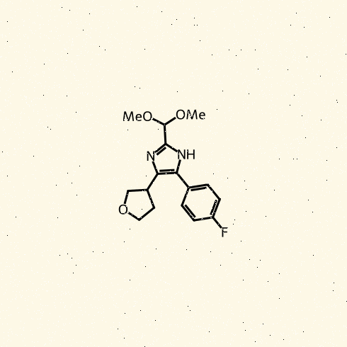 COC(OC)c1nc(C2CCOC2)c(-c2ccc(F)cc2)[nH]1